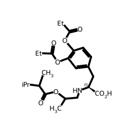 CCC(=O)Oc1ccc(C[C@H](NCC(C)OC(=O)C(C)C(C)C)C(=O)O)cc1OC(=O)CC